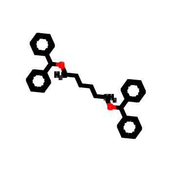 c1ccc(C(O[SiH2]CCCC[SiH2]OC(c2ccccc2)c2ccccc2)c2ccccc2)cc1